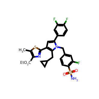 CCOC(=O)c1nc(-c2cc(-c3ccc(F)c(F)c3)n(Cc3ccc(S(N)(=O)=O)c(F)c3)c2CC2CC2)sc1C